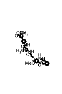 COC(=O)c1cc(-c2ccc(NC(=O)c3cc(NC(=O)CCCOc4cc5c(cc4OC)C(=O)N4Cc6ccccc6C[C@H]4CN5)cn3C)cc2)cn1C